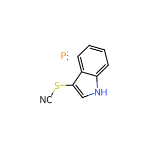 N#CSc1c[nH]c2ccccc12.[P]